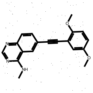 CNc1ncnc2ccc(C#Cc3cc(OC)ccc3OC)cc12